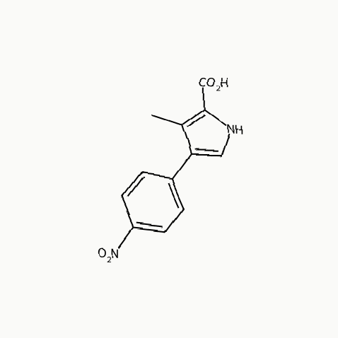 Cc1c(-c2ccc([N+](=O)[O-])cc2)c[nH]c1[13C](=O)O